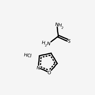 Cl.NC(N)=S.c1cnoc1